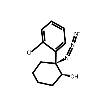 [N-]=[N+]=N[C@]1(c2ccccc2Cl)CCCC[C@@H]1O